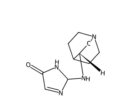 O=C1C=NC(N[C@H]2CN3CCC2CC3)N1